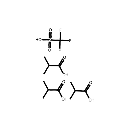 CC(C)C(=O)O.CC(C)C(=O)O.CC(C)C(=O)O.O=S(=O)(O)C(F)(F)F